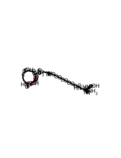 COC(=O)N[C@H]1C[C@@H]2CC[C@@H](C)[C@@](O)(O2)C(=O)C(=O)N2CCCC[C@H]2C(=O)O[C@H]([C@H](N)C[C@@H]2CC[C@@H](OCCCCc3cn(CCOCCOCCOCCOCCOCCOCCOCCOCCC(=O)NCCCCn4nc(-c5cc6cc(O)ccc6[nH]5)c5c(N)ncnc54)nn3)[C@H](OC)C2)CC(=O)[C@H](C)/C=C(\C)[C@@H](O)[C@@H](OC)C(=O)[C@H](C)C[C@H](C)/C=C/C=C/C=C/1C